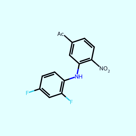 CC(=O)c1ccc([N+](=O)[O-])c(Nc2ccc(F)cc2F)c1